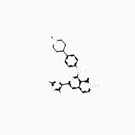 Cc1nc(C)c(-c2cc3cc[nH]c(=O)c3c(Nc3ccc(C4CCN(C)CC4)cc3)n2)s1